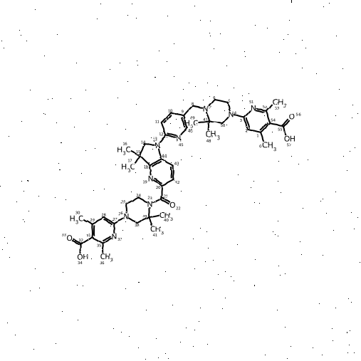 Cc1cc(N2CCN(Cc3ccc(N4CC(C)(C)c5nc(C(=O)N6CCN(c7cc(C)c(C(=O)O)c(C)n7)CC6(C)C)ccc54)nc3)C(C)(C)C2)nc(C)c1C(=O)O